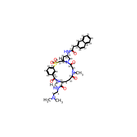 CN(C)CCNC(=O)[C@@H]1CCC(=O)N(C)CC(=O)N2C[C@H](NC(=O)Cc3ccc4ccccc4c3)C[C@H]2CS(=O)(=O)c2cccc(c2)C(=O)N1C